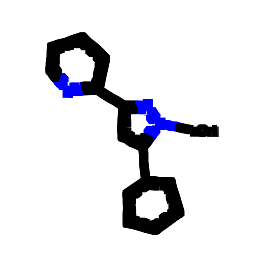 CCCCCCCCn1nc(-c2ccccn2)cc1-c1ccccc1